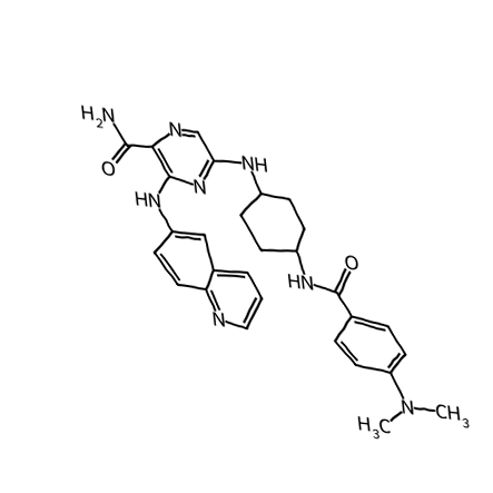 CN(C)c1ccc(C(=O)NC2CCC(Nc3cnc(C(N)=O)c(Nc4ccc5ncccc5c4)n3)CC2)cc1